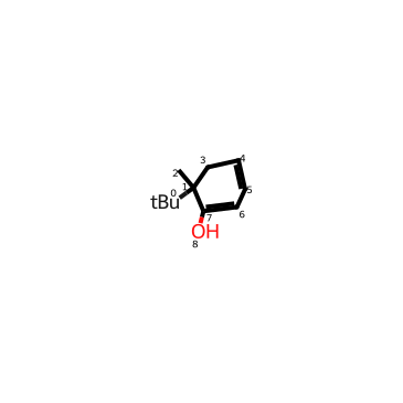 CC(C)(C)C1(C)CC=CC=C1O